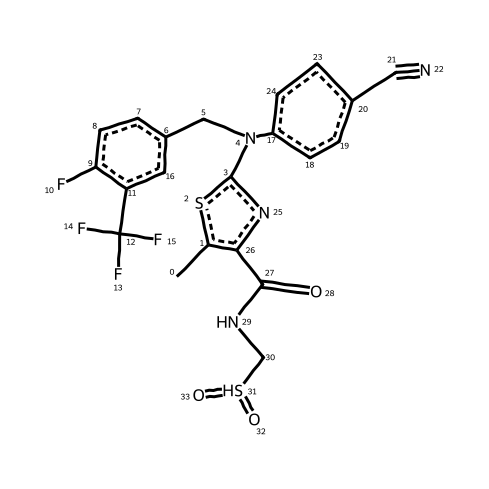 Cc1sc(N(Cc2ccc(F)c(C(F)(F)F)c2)c2ccc(C#N)cc2)nc1C(=O)NC[SH](=O)=O